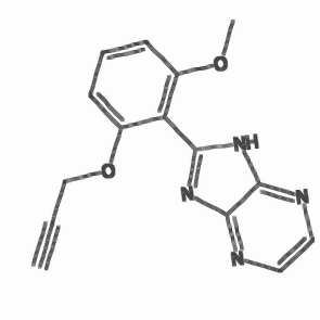 C#CCOc1cccc(OC)c1-c1nc2nccnc2[nH]1